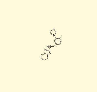 Cc1ccc(CNc2nc3ccccc3s2)cc1-n1ccnc1